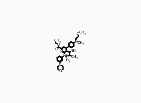 CCOC(=O)c1cc(-c2ccc(N(C)CCOC)cc2)c(C(=N)C(C)C)c(Nc2cccc(N3CCOCC3)c2)n1